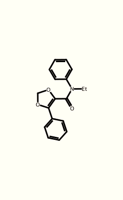 CCN(C(=O)C1=C(c2ccccc2)OCO1)c1ccccc1